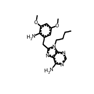 CCCCn1c(Cc2cc(OC)cc(OC)c2N)nc2c(N)ncnc21